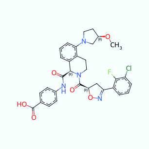 CO[C@@H]1CCN(c2cccc3c2CCN(C(=O)[C@H]2CC(c4cccc(Cl)c4F)=NO2)[C@H]3C(=O)Nc2ccc(C(=O)O)cc2)C1